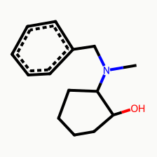 CN(Cc1ccccc1)C1CCCCC1O